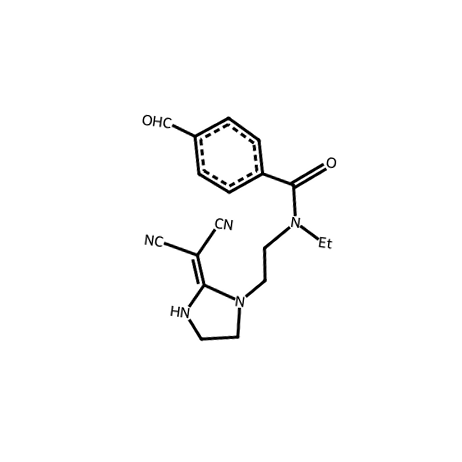 CCN(CCN1CCNC1=C(C#N)C#N)C(=O)c1ccc(C=O)cc1